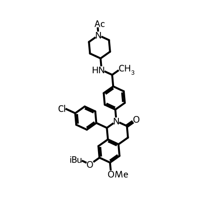 CCC(C)Oc1cc2c(cc1OC)CC(=O)N(c1ccc(C(C)NC3CCN(C(C)=O)CC3)cc1)C2c1ccc(Cl)cc1